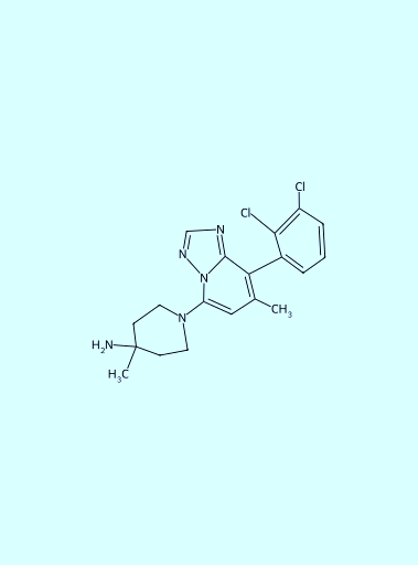 Cc1cc(N2CCC(C)(N)CC2)n2ncnc2c1-c1cccc(Cl)c1Cl